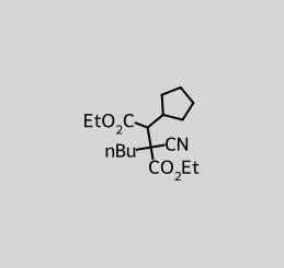 CCCCC(C#N)(C(=O)OCC)C(C(=O)OCC)C1CCCC1